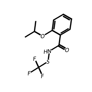 CC(C)Oc1ccccc1C(=O)NSC(F)(F)F